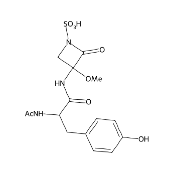 COC1(NC(=O)C(Cc2ccc(O)cc2)NC(C)=O)CN(S(=O)(=O)O)C1=O